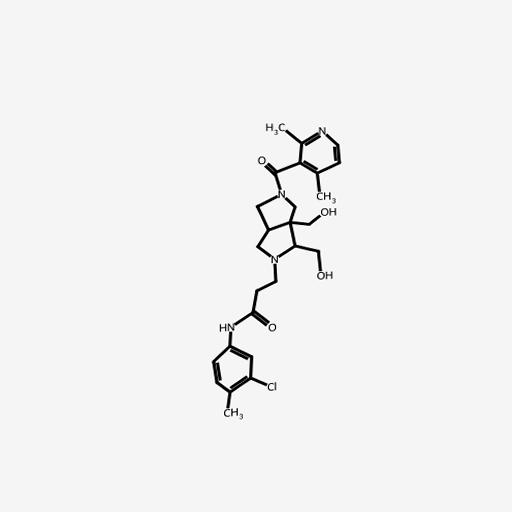 Cc1ccc(NC(=O)CCN2CC3CN(C(=O)c4c(C)ccnc4C)CC3(CO)C2CO)cc1Cl